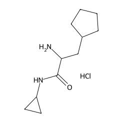 Cl.NC(CC1CCCC1)C(=O)NC1CC1